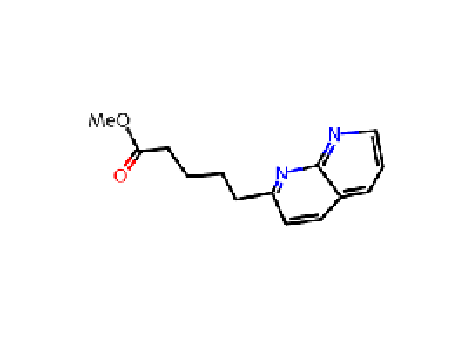 COC(=O)CCCCc1ccc2cccnc2n1